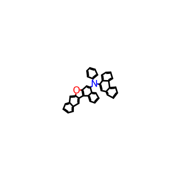 c1ccc(N(c2cc3ccccc3c3ccccc23)c2cc3oc4cc5ccccc5cc4c3c3ccccc23)cc1